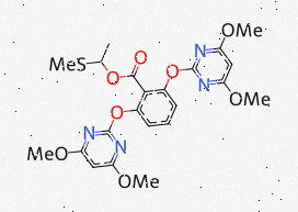 COc1cc(OC)nc(Oc2cccc(Oc3nc(OC)cc(OC)n3)c2C(=O)OC(C)SC)n1